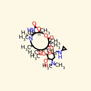 CO[C@]1(C)C[C@@H](C)CN(C)[C@H](C)[C@H]2NC(=O)O[C@]2(C)COC(=O)C(C)(C)C(=O)[C@H](C)[C@H]1O[C@@H]1O[C@H](CNC2CC2)CC(N(C)C)[C@H]1O